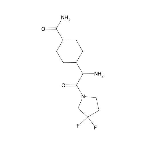 NC(=O)C1CCC(C(N)C(=O)N2CCC(F)(F)C2)CC1